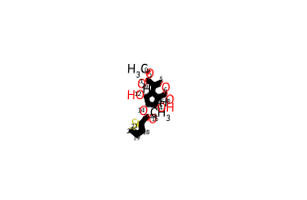 COC(=O)C1=COC(=O)[C@H]2[C@@H]1[C@H](O)[C@H](OC(=O)c1cccs1)[C@]2(C)O